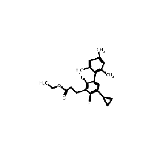 CCOC(=O)CCc1c(F)c(-c2c(C)cc(C)cc2C)cc(C2CC2)c1F